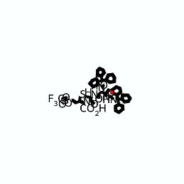 O=C(O)C1=C(C=COS(=O)(=O)C(F)(F)F)CS[C@H]2C(NC(=O)C(=NOC(c3ccccc3)(c3ccccc3)c3ccccc3)c3csc(NC(c4ccccc4)(c4ccccc4)c4ccccc4)n3)C(=O)N12